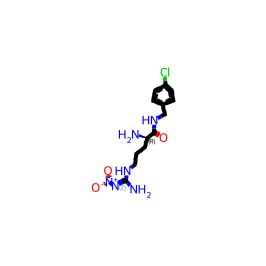 N/C(=N/[N+](=O)[O-])NCCC[C@@H](N)C(=O)NCc1ccc(Cl)cc1